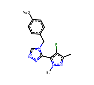 CCn1nc(C)c(F)c1-c1nncn1Cc1ccc(OC)cc1